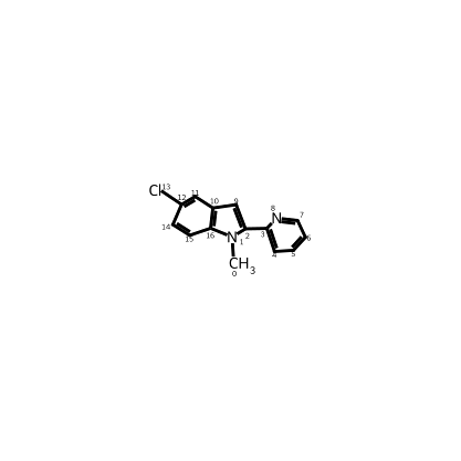 Cn1c(-c2ccccn2)cc2cc(Cl)ccc21